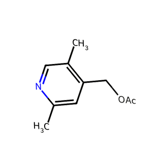 CC(=O)OCc1cc(C)ncc1C